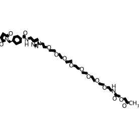 CC(=O)COCC(=O)NCCOCCOCCOCCOCCOCCOCCOCCOCCn1cc(CNC(=O)[C@H]2CC[C@H](CN3C(=O)C=CC3=O)CC2)nn1